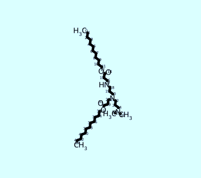 CCCCCCCCCCCCOC(=O)CCNCCCN(CCCN(C)C)CCC(=O)OCCCCCCCCCCCC